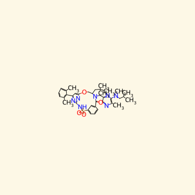 Cc1cccc(C)c1-c1cc2nc(n1)NS(=O)(=O)c1cccc(c1)C(=O)N(Cc1cnc(C)c(N(C)CC(C)C)n1)C(CC(C)(C)C)CO2